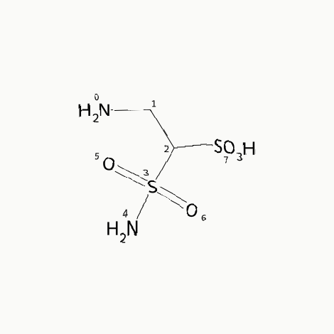 NCC(S(N)(=O)=O)S(=O)(=O)O